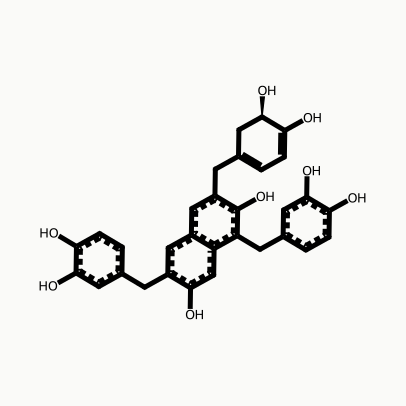 OC1=CC=C(Cc2cc3cc(Cc4ccc(O)c(O)c4)c(O)cc3c(Cc3ccc(O)c(O)c3)c2O)C[C@H]1O